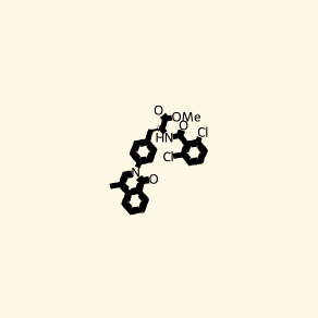 COC(=O)[C@H](Cc1ccc(-n2cc(C)c3ccccc3c2=O)cc1)NC(=O)c1c(Cl)cccc1Cl